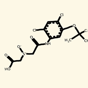 CC(C)(C)Oc1cc(NC(=O)C[S+]([O-])CC(=O)O)c(Cl)cc1Cl